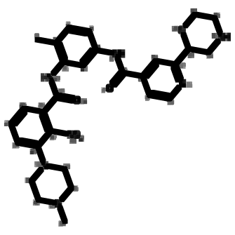 Cc1ccc(NC(=O)c2ccnc(C3CNCCO3)c2)cc1NC(=O)c1cccc(N2CCN(C)CC2)c1[N+](=O)[O-]